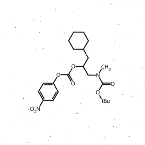 CN(CC(CC1CCCCC1)OC(=O)Oc1ccc([N+](=O)[O-])cc1)C(=O)OC(C)(C)C